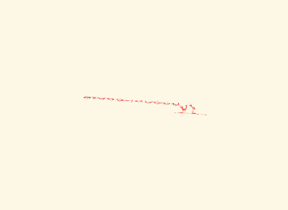 CCCCCCCCCCCCC(CCCCCCCCCC)COC(C)COC(C)COC(C)COC(C)COC(C)COC(C)COCCOCCOCCOCCOCCOCCOCCOCCOCCOCCOCCOCCOCCOCCOCCOCCOCCOCCOCCOCCO